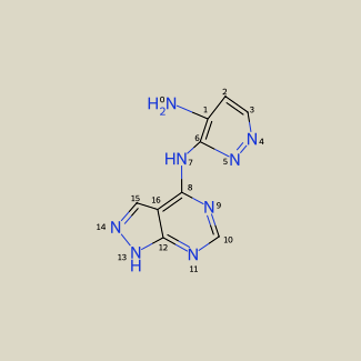 Nc1ccnnc1Nc1ncnc2[nH]ncc12